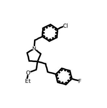 CCOCC1(CCc2ccc(F)cc2)CCN(Cc2ccc(Cl)cc2)C1